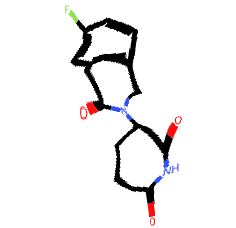 O=C1CCC(N2Cc3ccc(F)cc3C2=O)C(=O)N1